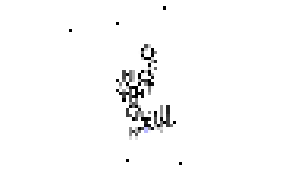 CCNC(C)(C)/C=C(/C#N)C(=O)N1CCC[C@@H](n2nc(-c3ccc(Oc4ccccc4)cc3F)c3c(N)ncnc32)C1